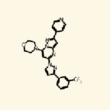 FC(F)(F)c1cccc(-c2ccn(-c3cc(N4CCOCC4)n4nc(-c5ccncc5)cc4n3)n2)c1